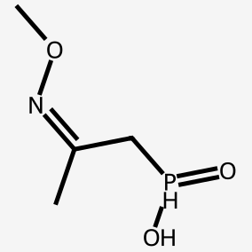 CON=C(C)C[PH](=O)O